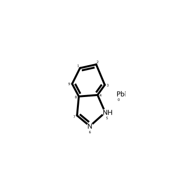 [Pb].c1ccc2[nH]ncc2c1